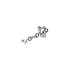 CC(C)COc1cccc2[nH]c(C(=O)NC3CCN(CCN4CCC(C)CC4)CC3)cc12